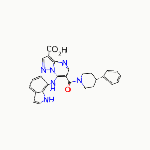 O=C(O)c1cnn2c(Nc3cccc4cc[nH]c34)c(C(=O)N3CCC(c4ccccc4)CC3)cnc12